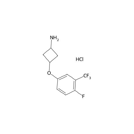 Cl.NC1CC(Oc2ccc(F)c(C(F)(F)F)c2)C1